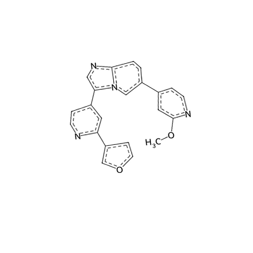 COc1cc(-c2ccc3ncc(-c4ccnc(-c5ccoc5)c4)n3c2)ccn1